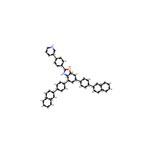 c1cncc(-c2ccc(-c3nc4c(-c5ccc(-c6ccc7ccccc7c6)cc5)cc(-c5ccc(-c6ccc7ccccc7c6)cc5)cc4o3)cc2)c1